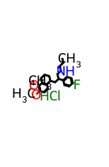 CCCNCC(CC1CCCc2c1ccc(OC)c2OC)c1ccc(F)cc1.Cl